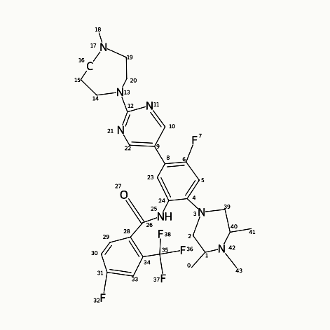 CC1CN(c2cc(F)c(-c3cnc(N4CCCN(C)CC4)nc3)cc2NC(=O)c2ccc(F)cc2C(F)(F)F)CC(C)N1C